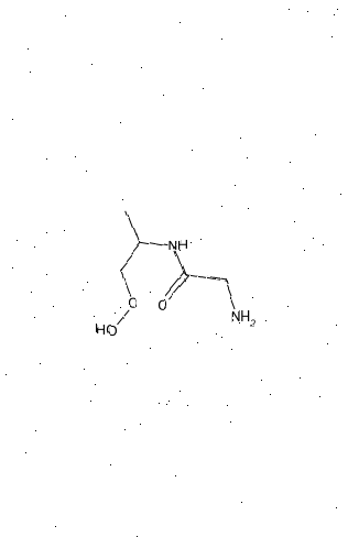 CC(COO)NC(=O)CN